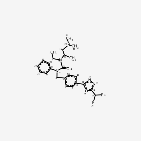 CCN(C(=O)N(Cc1ccc(-c2nnc(C(F)F)o2)cc1)c1ccccc1)C(C)CN(C)C